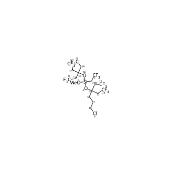 CO[Si](CC(F)(F)F)(OC(CCCCl)(CC(F)(F)F)CC(F)(F)F)OC(CC(F)(F)F)(CC(F)(F)F)CC(F)(F)F